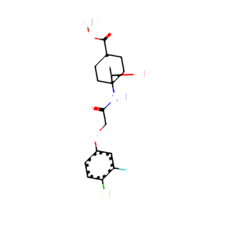 COC(=O)C12CCC(NC(=O)COc3ccc(Cl)c(F)c3)(CC1)C(O)C2